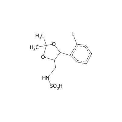 CC1(C)OC(CNS(=O)(=O)O)C(c2ccccc2I)O1